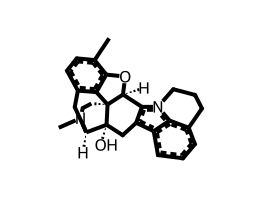 Cc1ccc2c3c1O[C@H]1c4c(c5cccc6c5n4CCC6)C[C@@]4(O)[C@@H](C2)N(C)CC[C@]314